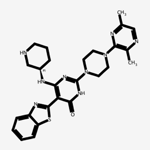 Cc1cnc(C)c(N2CCN(c3nc(N[C@@H]4CCCNC4)c(-c4nc5ccccc5s4)c(=O)[nH]3)CC2)n1